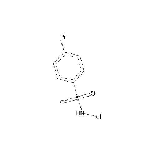 CC(C)c1ccc(S(=O)(=O)NCl)cc1